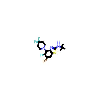 CC(C)(C)Nc1nc2c(N3CCC(F)(F)CC3)c(F)c(Br)cc2s1